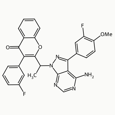 COc1ccc(-c2nn(C(C)c3oc4ccccc4c(=O)c3-c3cccc(F)c3)c3ncnc(N)c23)cc1F